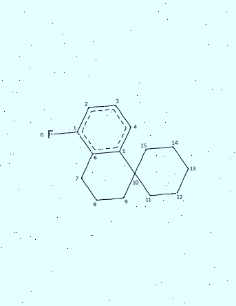 Fc1cccc2c1CCCC21CCCCC1